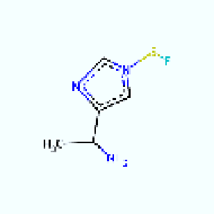 CC(N)c1cn(SF)cn1